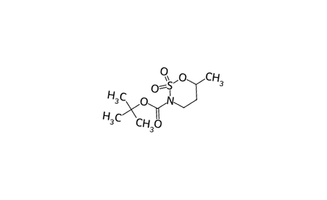 CC1CCN(C(=O)OC(C)(C)C)S(=O)(=O)O1